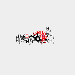 CC(C)OP(=O)(Oc1c(C(=O)O)ccc(C(C)(C)CCO[Si](C)(C)C(C)(C)C)c1C(=O)O)OC(C)C